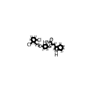 O=C1Nc2cc(OSCc3c(Cl)cccc3Cl)ccc2S/C1=C\c1c[nH]c2ccccc12